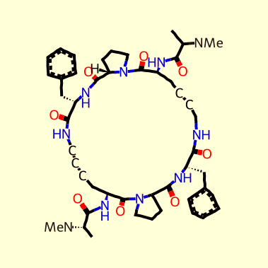 CNC(C)C(=O)N[C@H]1CCCCNC(=O)[C@H](Cc2ccccc2)NC(=O)C2CCCN2C(=O)[C@@H](NC(=O)[C@H](C)NC)CCCCNC(=O)[C@H](Cc2ccccc2)NC(=O)[C@@H]2CCCN2C1=O